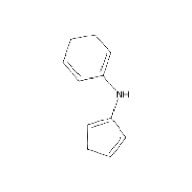 C1=CC(NC2=CCCC=C2)=CC1